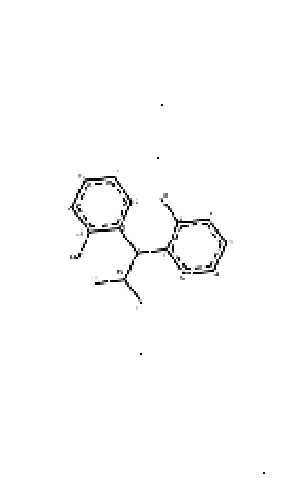 Cc1ccccc1C(c1ccccc1C)C(C)C